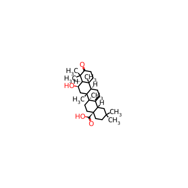 CC1(C)CC[C@]2(C(=O)O)CC[C@]3(C)C(=CC[C@@H]4[C@@]5(C)CCC(=O)C(C)(C)[C@@H]5[C@H](O)C[C@]43C)[C@@H]2C1